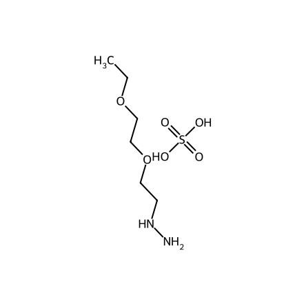 CCOCCOCCNN.O=S(=O)(O)O